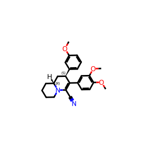 COc1cccc([C@@H]2C[C@H]3CCCCN3C(C#N)=C2c2ccc(OC)c(OC)c2)c1